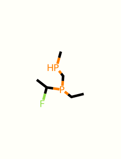 CCP(CPC)C(C)F